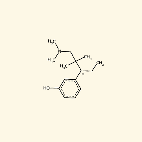 CC[C@H](c1cccc(O)c1)C(C)(C)CN(C)C